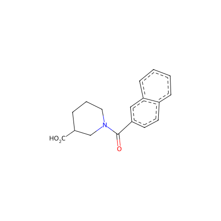 O=C(O)C1CCCN(C(=O)c2ccc3ccccc3c2)C1